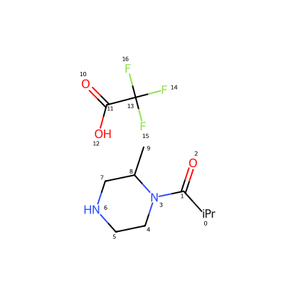 CC(C)C(=O)N1CCNCC1C.O=C(O)C(F)(F)F